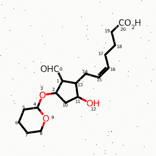 O=CC1C(OC2CCCCO2)CC(O)C1C/C=C\CCCC(=O)O